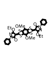 CCOC1=NN(c2ccccc2)C(=O)C1=C1Sc2c(OC)c3c(c(OC)c2S1)SC(=C1C(=O)N(c2ccccc2)N=C1OCC)S3